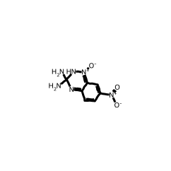 NC1(N)N=c2ccc([N+](=O)[O-])cc2=[N+]([O-])N1